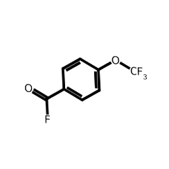 O=C(F)c1ccc(OC(F)(F)F)cc1